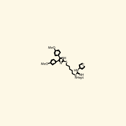 CCCCCCCN(CCCCCSc1nc(-c2ccc(OC)cc2)c(-c2ccc(OC)cc2)[nH]1)C(=N)Nc1ccccc1